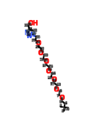 CC(C)(C)CCOCCOCCOCCOCCOCCOCCOCCn1cc(CO)nn1